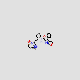 N[C@H](C(=O)N[C@H]1CCCC[C@@H]1CC[C@H]1CN[C@@H]2CCCS(=O)(=O)N1C2)C(c1ccc(F)cc1)C1CCOCC1